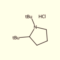 CC(C)(C)C1CCCN1C(C)(C)C.Cl